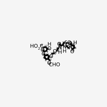 O=COCc1ccc(OC2CC(O)CC(C(=O)O)O2)cc1OCCOCCNC(=O)C(CS(=O)(=O)O)NC(=O)CN1C(=O)C=CC1=O